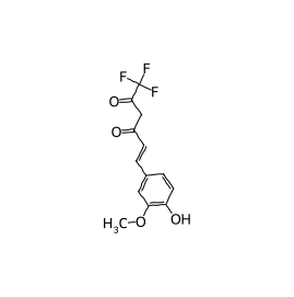 COc1cc(C=CC(=O)CC(=O)C(F)(F)F)ccc1O